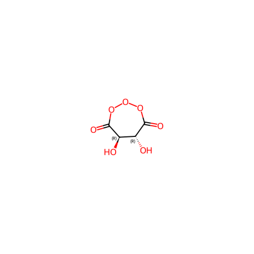 O=C1OOOC(=O)[C@H](O)[C@H]1O